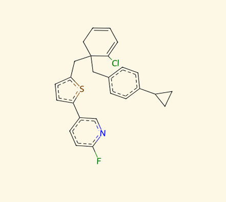 Fc1ccc(-c2ccc(CC3(Cc4ccc(C5CC5)cc4)CC=CC=C3Cl)s2)cn1